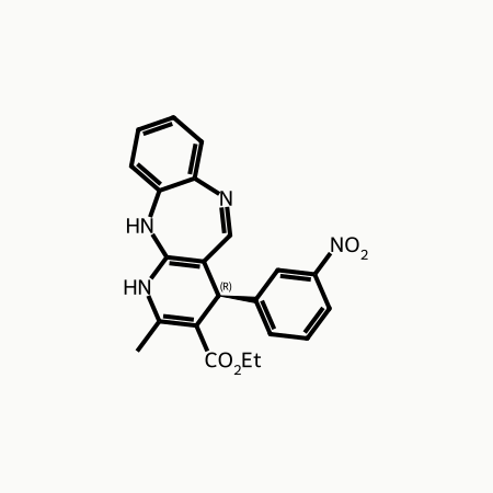 CCOC(=O)C1=C(C)NC2=C(C=Nc3ccccc3N2)[C@H]1c1cccc([N+](=O)[O-])c1